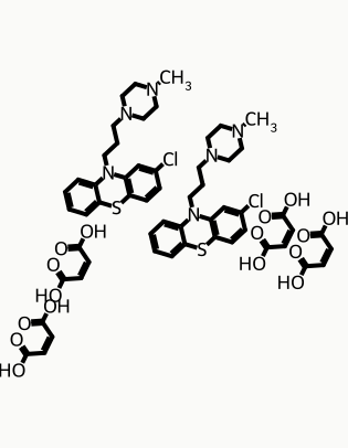 CN1CCN(CCCN2c3ccccc3Sc3ccc(Cl)cc32)CC1.CN1CCN(CCCN2c3ccccc3Sc3ccc(Cl)cc32)CC1.O=C(O)/C=C\C(=O)O.O=C(O)/C=C\C(=O)O.O=C(O)/C=C\C(=O)O.O=C(O)/C=C\C(=O)O